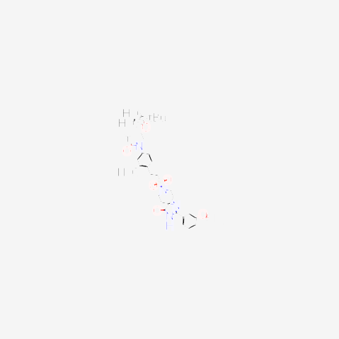 Cc1cc(N(CCO[Si](C)(C)C(C)(C)C)C(=O)C(C)C)ccc1CCS(=O)(=O)N1CCC2(CC1)N=C(c1cccc(OC(F)(F)F)c1)NC2=O